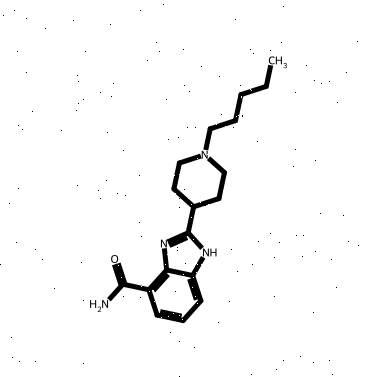 CCCCCN1CCC(c2nc3c(C(N)=O)cccc3[nH]2)CC1